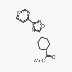 COC(=O)[C@H]1CC[C@H](c2nc(-c3ccncc3)no2)CC1